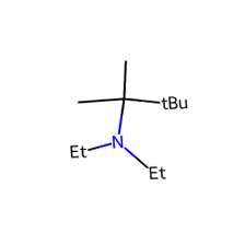 CCN(CC)C(C)(C)C(C)(C)C